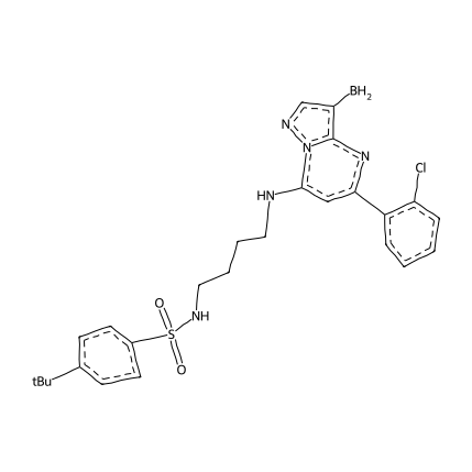 Bc1cnn2c(NCCCCNS(=O)(=O)c3ccc(C(C)(C)C)cc3)cc(-c3ccccc3Cl)nc12